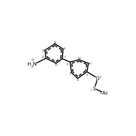 CC(=O)SOc1ccc(-c2cccc(N)c2)cc1